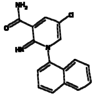 N=c1c(C(N)=O)cc(Cl)cn1-c1cccc2ccccc12